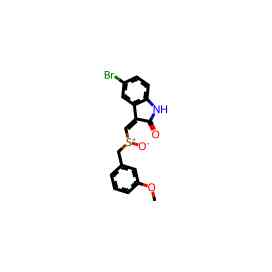 COc1cccc(C[S+]([O-])C=C2C(=O)Nc3ccc(Br)cc32)c1